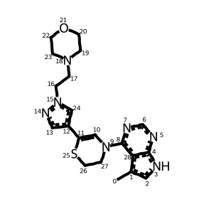 Cc1c[nH]c2ncnc(N3C=C(c4cnn(CCN5CCOCC5)c4)SCC3)c12